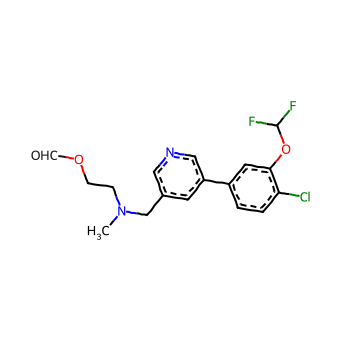 CN(CCOC=O)Cc1cncc(-c2ccc(Cl)c(OC(F)F)c2)c1